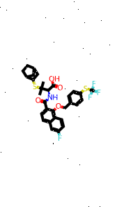 CC(C)(SC1CC2CCC1C2)[C@H](NC(=O)c1ccc2cc(F)ccc2c1OCc1ccc(SC(F)(F)F)cc1)C(=O)O